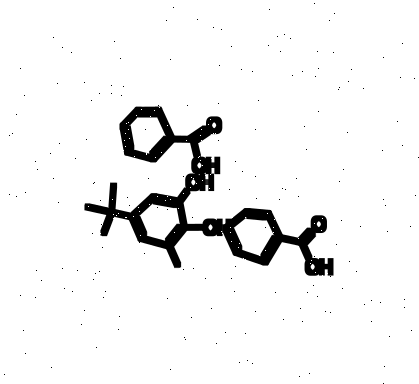 Cc1cc(C(C)(C)C)cc(O)c1O.O=C(O)c1ccccc1.O=C(O)c1ccccc1